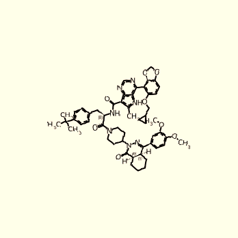 COc1ccc(C2=NN(C3CCN(C(=O)[C@@H](Cc4ccc(C(C)(C)C)cc4)NC(=O)c4c(C)[nH]c5c(-c6c(OCC7CC7)ccc7c6OCO7)ncnc45)CC3)C(=O)[C@@H]3CCCC[C@H]23)cc1OC